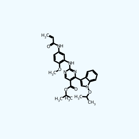 C=CC(=O)Nc1ccc(OC)c(Nc2ncc(C(=O)OC(C)C)c(-c3cn(OC(C)C)c4ccccc34)n2)c1